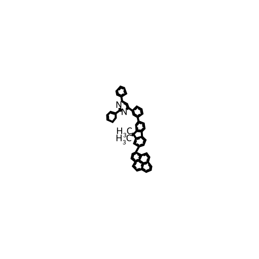 CC1(C)c2cc(-c3cccc(-c4cc(-c5ccccc5)nc(C5=CC=CCC5)n4)c3)ccc2-c2ccc(-c3ccc4ccc5cccc6ccc3c4c56)cc21